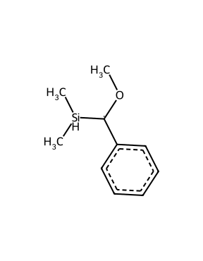 CO[C](c1ccccc1)[SiH](C)C